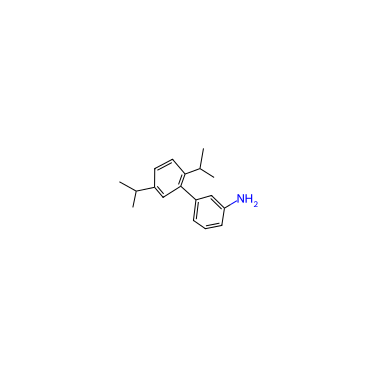 CC(C)c1ccc(C(C)C)c(-c2cccc(N)c2)c1